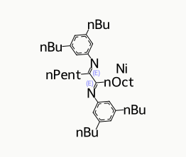 CCCCCCCCC(=N\c1cc(CCCC)cc(CCCC)c1)/C(CCCCC)=N/c1cc(CCCC)cc(CCCC)c1.[Ni]